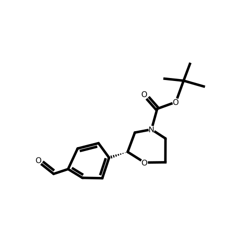 CC(C)(C)OC(=O)N1CCO[C@H](c2ccc(C=O)cc2)C1